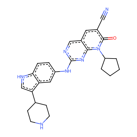 N#Cc1cc2cnc(Nc3ccc4[nH]cc(C5CCNCC5)c4c3)nc2n(C2CCCC2)c1=O